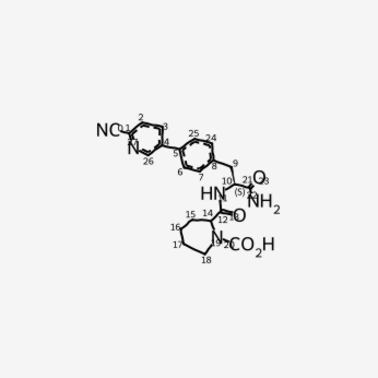 N#Cc1ccc(-c2ccc(C[C@H](NC(=O)C3CCCCN3C(=O)O)C(N)=O)cc2)cn1